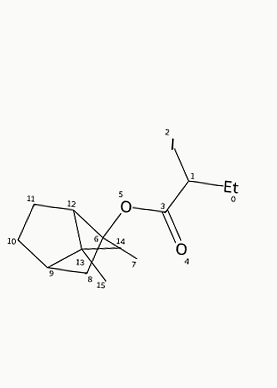 CCC(I)C(=O)OC1(C)CC2CCC1C2(C)C